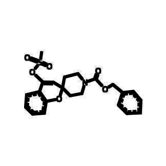 CS(=O)(=O)OC1=CC2(CCN(C(=O)OCc3ccccc3)CC2)Oc2ccccc21